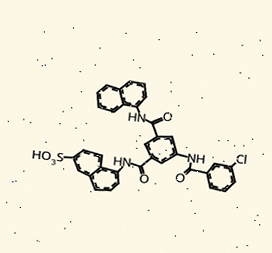 O=C(Nc1cc(C(=O)Nc2cccc3ccccc23)cc(C(=O)Nc2cccc3cc(S(=O)(=O)O)ccc23)c1)c1cccc(Cl)c1